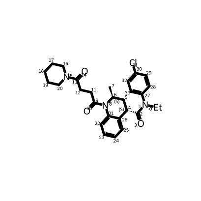 CCN(C(=O)[C@H]1C[C@H](C)N(C(=O)CCC(=O)N2CCCCC2)c2ccccc21)c1ccc(Cl)cc1